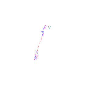 O=C1CCC(N2C(=O)c3ccc(NC(=O)COCCOCCOCCOCCOCCNC(=O)c4cc5cc(N6CC[C@H](C(=O)NCc7cc(F)cc(F)c7)C6=O)ccc5[nH]4)cc3C2=O)C(=O)N1